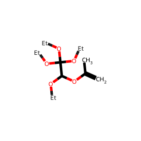 [CH2]COC(OC(=C)C)C(OCC)(OCC)OCC